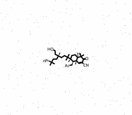 CCCC(C)(C)CC[C@](C)(CCO)CCC(C)(C)[C@]1(C)CC[C@H]2C(C)(C)C(=O)C(C#N)=C[C@]2(C)[C@H]1CC(C)=O